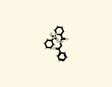 O=C(CNC(=O)C1CCCCN1S(=O)(=O)C1CCCCC1)c1ccccc1